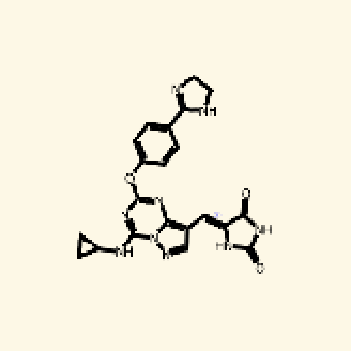 O=C1NC(=O)/C(=C/c2cnn3c(NC4CC4)nc(Oc4ccc(C5=NCCN5)cc4)nc23)N1